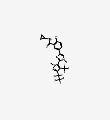 Cn1cc(-c2ccc(Cl)c(C(=O)NC3CC3)c2)nc1-c1c(C(F)(F)F)c(C(F)(F)C(F)(F)F)nn1C